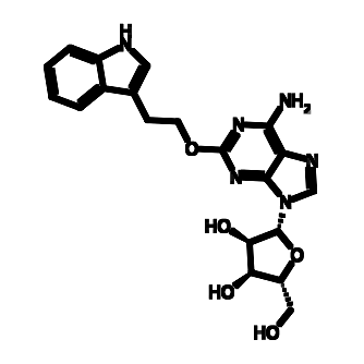 Nc1nc(OCCc2c[nH]c3ccccc23)nc2c1ncn2[C@@H]1O[C@H](CO)[C@@H](O)[C@H]1O